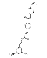 C=CC1CCC(OC(=O)c2ccc(/C=C/C(=O)OCCc3cc(N)cc(N)c3)cc2)CC1